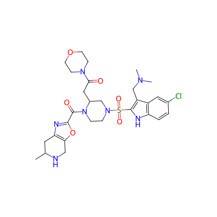 CC1Cc2nc(C(=O)N3CCN(S(=O)(=O)c4[nH]c5ccc(Cl)cc5c4CN(C)C)CC3CC(=O)N3CCOCC3)oc2CN1